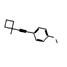 COc1ccc(C#CC2(O)CCC2)cc1